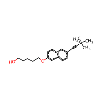 C[Si](C)(C)C#Cc1ccc2cc(OCCCCCO)ccc2c1